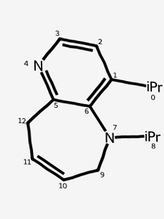 CC(C)c1ccnc2c1N(C(C)C)CC=CC2